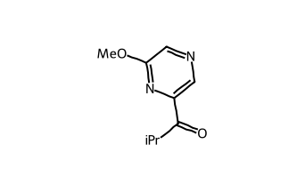 COc1cncc(C(=O)C(C)C)n1